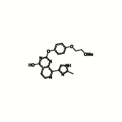 COCCOc1ccc(Oc2nc(O)c3ccnc(-c4c[nH]c(C)n4)c3n2)cc1